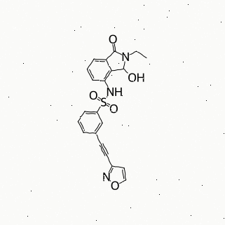 CCN1C(=O)c2cccc(NS(=O)(=O)c3cccc(C#Cc4ccon4)c3)c2C1O